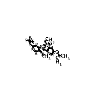 CCS(=O)(=O)c1cc(OC(C)C)cnc1-c1nc2cc(SC(F)(F)F)ncc2n1C